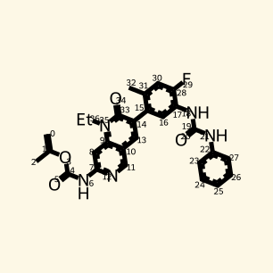 C=C(C)OC(=O)Nc1cc2c(cn1)cc(-c1cc(NC(=O)Nc3ccccc3)c(F)cc1C)c(=O)n2CC